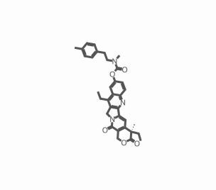 CCc1c2c(nc3ccc(OC(=O)N(C)CCc4ccc(C)cc4)cc13)-c1cc3c(c(=O)n1C2)COC(=O)[C@]3(C)CC